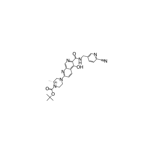 C[C@@H]1CN(c2ccc3c(O)c(C(=O)NCc4ccc(C#N)nc4)ncc3n2)CCN1C(=O)OC(C)(C)C